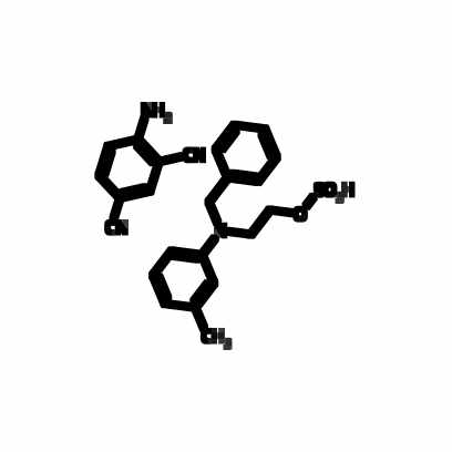 Cc1cccc(N(CCOS(=O)(=O)O)Cc2ccccc2)c1.N#Cc1ccc(N)c(C#N)c1